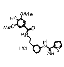 COc1cc(C(=O)NCCc2cccc(NC(=N)c3cccs3)c2)cc(OC)c1O.Cl